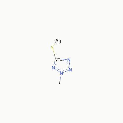 Cn1nnc([S][Ag])n1